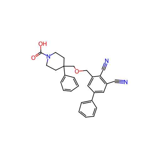 N#Cc1cc(-c2ccccc2)cc(COCC2(c3ccccc3)CCN(C(=O)O)CC2)c1C#N